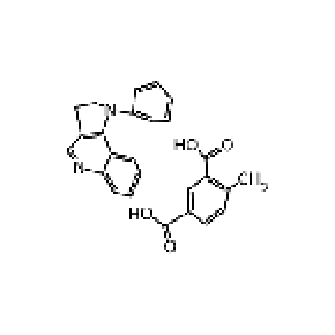 Cc1ccc(C(=O)O)cc1C(=O)O.c1ccc(N2CCc3cnc4ccccc4c32)cc1